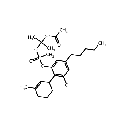 CCCCCc1cc(O)c(C2C=C(C)CCC2)c(OP(C)(=O)OC(C)(C)OC(C)=O)c1